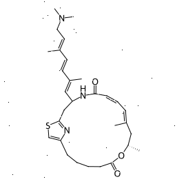 CC(/C=C/C(C)=C/C1Cc2nc(cs2)CCCCC(=O)O[C@@H](C)C/C(C)=C/C=C\C(=O)N1)=C\CN(C)C